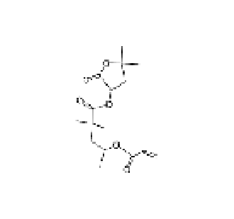 C=CC(=O)OC(C)CC(C)(C)C(=O)OC1CC(C)(C)OC1=O